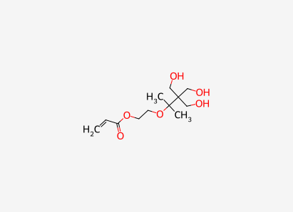 C=CC(=O)OCCOC(C)(C)C(CO)(CO)CO